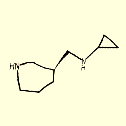 C1CNC[C@@H](CNC2CC2)C1